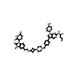 CCC[C@H](C)Nc1ncc2c(-c3ccc(CN4CCN(C5CC(OCCc6ccc7c(c6)n(C)c(=O)n7C6CCC(=O)NC6=O)C5)CC4)cc3)cn([C@H]3CC[C@H](O)CC3)c2n1